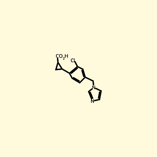 O=C(O)C1CC1c1ccc(Cn2ccnc2)cc1Cl